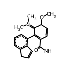 COC1C=CC(C([NH])=O)=C(c2cccc3c2C=CC3)C1=[Si](C)C